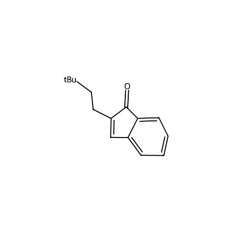 CC(C)(C)CCC1=Cc2ccccc2C1=O